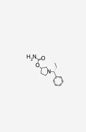 CC[C@H](c1ccccc1)N1CCC(OC(N)=O)C1